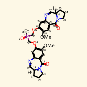 CCP(=O)(COc1cc2c(cc1OC)C(=O)N1CCC[C@H]1C=N2)COc1cc2c(cc1OC)C(=O)N1CCC[C@H]1C=N2